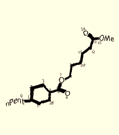 CCCCCC1CCC(C(=O)OCCCCCC(=O)OC)CC1